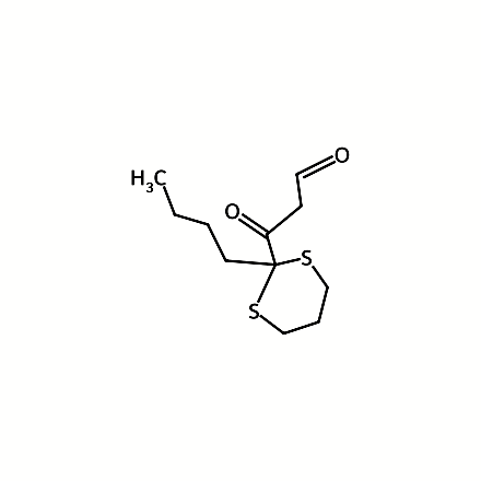 CCCCC1(C(=O)CC=O)SCCCS1